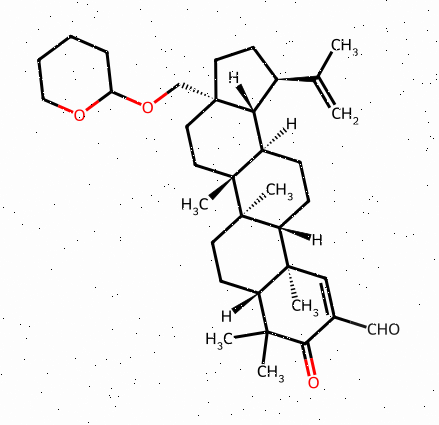 C=C(C)[C@@H]1CC[C@]2(COC3CCCCO3)CC[C@]3(C)[C@H](CC[C@@H]4[C@@]5(C)C=C(C=O)C(=O)C(C)(C)[C@@H]5CC[C@]43C)[C@@H]12